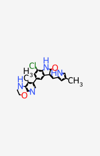 Cc1c[nH]c(C=C2C(=O)Nc3c(Cl)cc(-c4cnc5c(c4C)NCCO5)cc32)c1